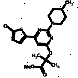 COC(=O)C(C)(C)Oc1cc(-c2ccc(Cl)s2)nc(N2CCC(C)CC2)n1